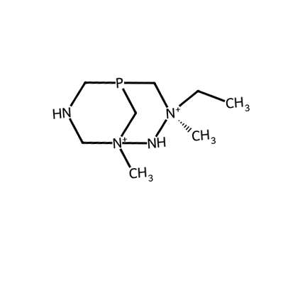 CC[N@+]1(C)CP2CNC[N+](C)(C2)N1